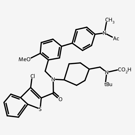 COc1ccc(-c2ccc(N(C)C(C)=O)cc2)cc1CN(C(=O)c1sc2ccccc2c1Cl)C1CCC(CN(C(=O)O)C(C)(C)C)CC1